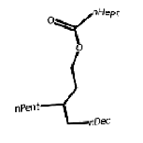 CCCCCCCCCCCC(CCCCC)CCOC(=O)CCCCCCC